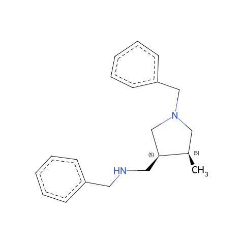 C[C@@H]1CN(Cc2ccccc2)C[C@@H]1CNCc1ccccc1